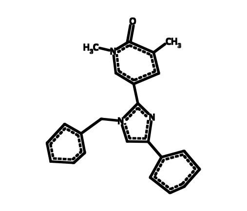 Cc1cc(-c2nc(-c3ccccc3)cn2Cc2ccccc2)cn(C)c1=O